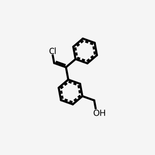 OCc1cccc(C(=CCl)c2ccccc2)c1